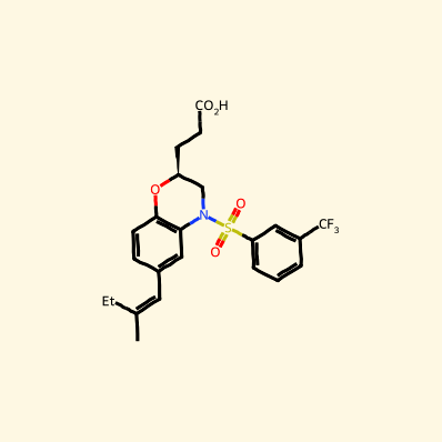 CC/C(C)=C\c1ccc2c(c1)N(S(=O)(=O)c1cccc(C(F)(F)F)c1)C[C@H](CCC(=O)O)O2